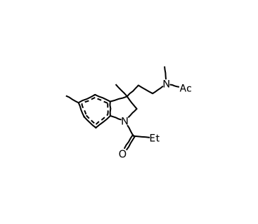 CCC(=O)N1CC(C)(CCN(C)C(C)=O)c2cc(C)ccc21